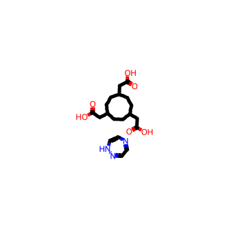 C1=CNN=CC=N1.O=C(O)CC1CCC(CC(=O)O)CCC(CC(=O)O)CC1